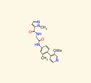 COc1cnccc1-c1ccc(NC(=O)CNC(=O)c2ccnn2C)cc1C